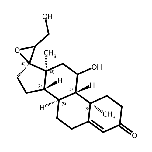 C[C@]12CCC(=O)C=C1CC[C@@H]1[C@@H]2C(O)C[C@@]2(C)[C@H]1CC[C@@]21OC1CO